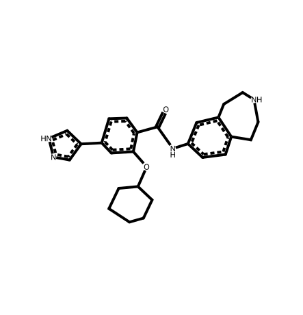 O=C(Nc1ccc2c(c1)CCNCC2)c1ccc(-c2cn[nH]c2)cc1OC1CCCCC1